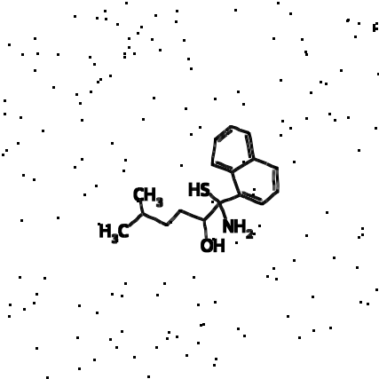 CC(C)CCC(O)C(N)(S)c1cccc2ccccc12